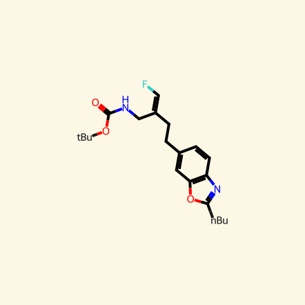 CCCCc1nc2ccc(CCC(=CF)CNC(=O)OC(C)(C)C)cc2o1